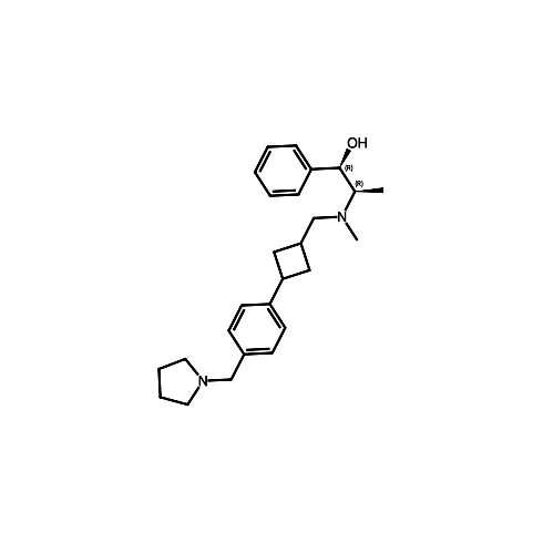 C[C@H]([C@H](O)c1ccccc1)N(C)CC1CC(c2ccc(CN3CCCC3)cc2)C1